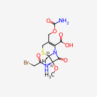 CO[C@@]1(NC(=O)CBr)C(=O)N2C(C(=O)O)=C(COC(N)=O)CS[C@H]21